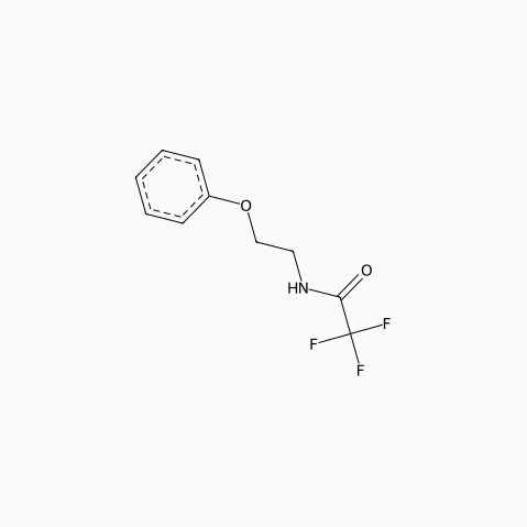 O=C(NCCOc1ccccc1)C(F)(F)F